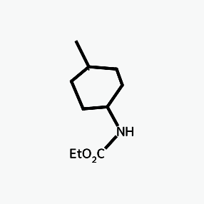 CCOC(=O)NC1CC[C](C)CC1